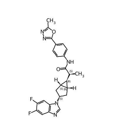 Cc1nnc(-c2ccc(NC(=O)[C@@H](C)[C@H]3[C@@H]4C[C@@H](n5cnc6cc(F)c(F)cc65)C[C@@H]43)cc2)o1